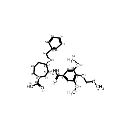 COCOc1c(OC)cc(C(=O)N[C@@H]2CN(C(=O)O)CCC[C@H]2OCc2ccccc2)cc1OC